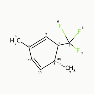 CC1=CC(C(F)(F)F)[C@H](C)C=C1